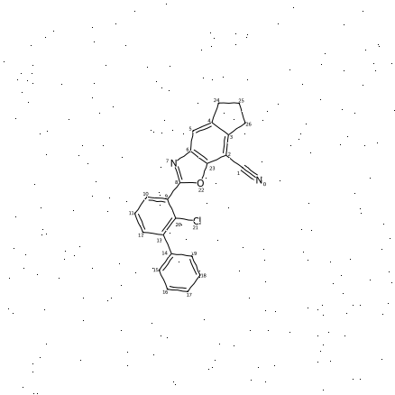 N#Cc1c2c(cc3nc(-c4cccc(-c5ccccc5)c4Cl)oc13)CCC2